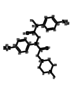 CN1CCN(CC(=O)N(CC(=O)N(C)c2ccc(N)cc2)c2ccc(N)cc2)CC1